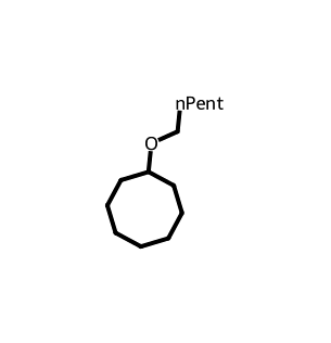 CCCCCCOC1CCCCCCC1